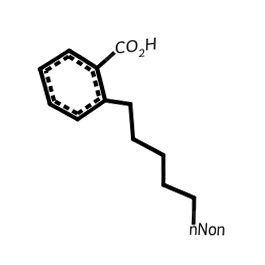 CCCCCCCCCCCCCCc1ccccc1C(=O)O